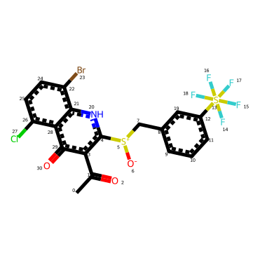 CC(=O)c1c([S+]([O-])Cc2cccc(S(F)(F)(F)(F)F)c2)[nH]c2c(Br)ccc(Cl)c2c1=O